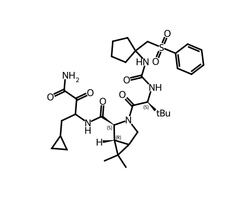 CC(C)(C)[C@H](NC(=O)NC1(CS(=O)(=O)c2ccccc2)CCCC1)C(=O)N1CC2[C@@H]([C@H]1C(=O)NC(CC1CC1)C(=O)C(N)=O)C2(C)C